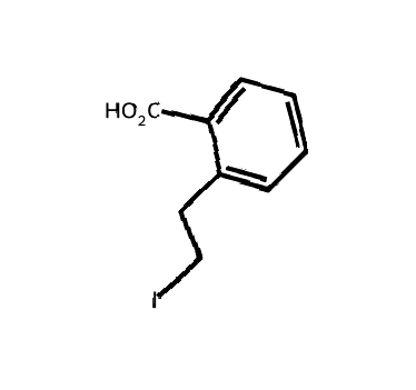 O=C(O)c1ccccc1CCI